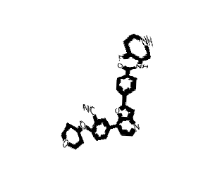 N#Cc1cc(-c2ccnc3cc(-c4ccc(C(=O)NC5CNCCC5F)cc4)oc23)ccc1OC1CCOCC1